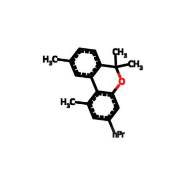 CCCc1cc(C)c2c(c1)OC(C)(C)c1ccc(C)cc1-2